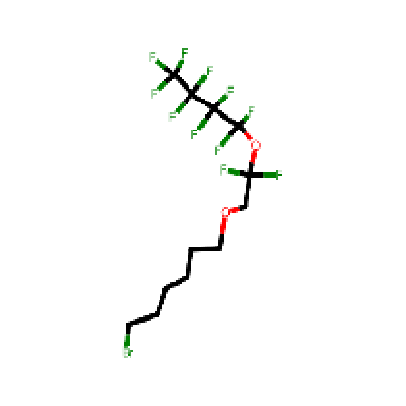 FC(F)(COCCCCCCBr)OC(F)(F)C(F)(F)C(F)(F)C(F)(F)F